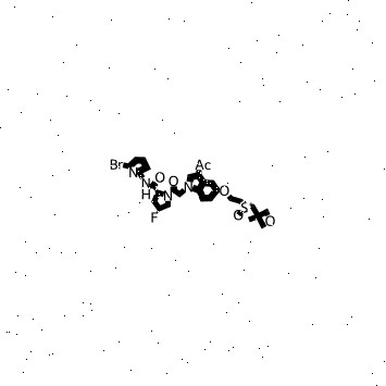 CC(=O)c1cn(CC(=O)N2C[C@H](F)C[C@H]2C(=O)Nc2cccc(Br)n2)c2ccc(OCC[S+]([O-])CC3(C)COC3)cc12